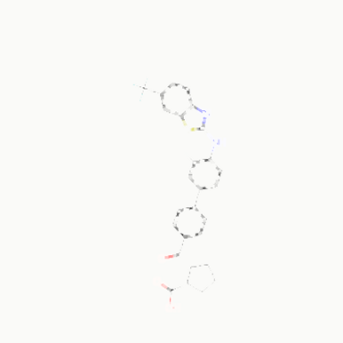 O=C(O)[C@@H]1CCC[C@H]1C(=O)c1ccc(-c2ccc(Nc3nc4ccc(C(F)(F)F)cc4s3)c(F)c2)cc1